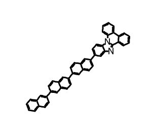 c1ccc2cc(-c3ccc4cc(-c5ccc6cc(-c7ccc8c(c7)nc7c9ccccc9c9ccccc9n87)ccc6c5)ccc4c3)ccc2c1